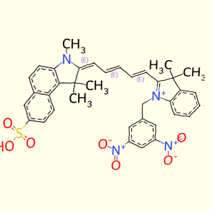 CN1/C(=C/C=C/C=C/C2=[N+](Cc3cc([N+](=O)[O-])cc([N+](=O)[O-])c3)c3ccccc3C2(C)C)C(C)(C)c2c1ccc1cc(S(=O)(=O)O)ccc21